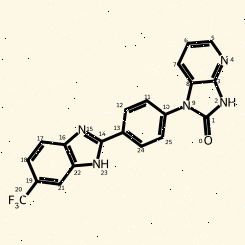 O=c1[nH]c2ncccc2n1-c1ccc(-c2nc3ccc(C(F)(F)F)cc3[nH]2)cc1